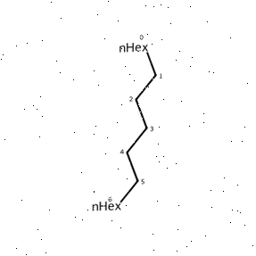 [CH2]CCCCCCCCCCCCC[CH]CC